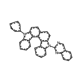 c1ccc(-n2c3ccccc3c3c4c(ccc32)ccc2c4c3ccccc3n2-c2ncc3ccccc3n2)cc1